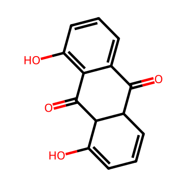 O=C1c2cccc(O)c2C(=O)C2C(O)=CC=CC12